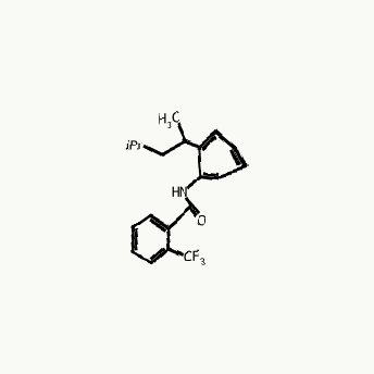 CC(C)CC(C)c1ccccc1NC(=O)c1ccccc1C(F)(F)F